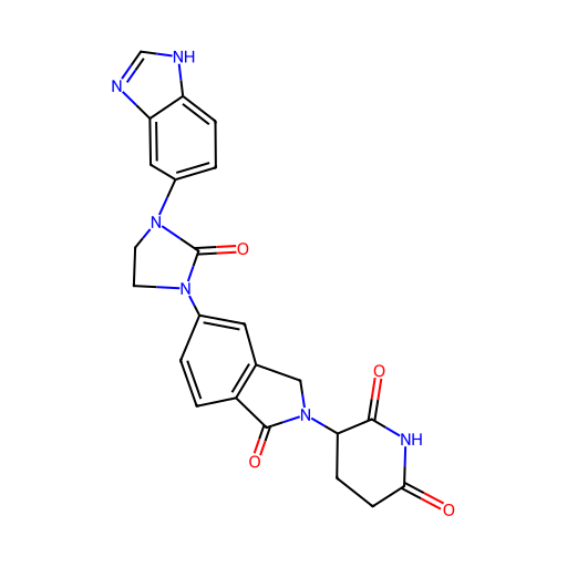 O=C1CCC(N2Cc3cc(N4CCN(c5ccc6[nH]cnc6c5)C4=O)ccc3C2=O)C(=O)N1